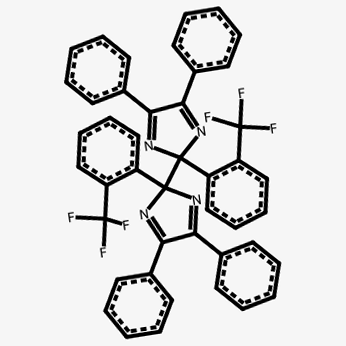 FC(F)(F)c1ccccc1C1(C2(c3ccccc3C(F)(F)F)N=C(c3ccccc3)C(c3ccccc3)=N2)N=C(c2ccccc2)C(c2ccccc2)=N1